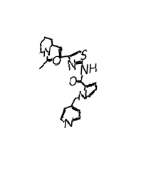 CC(=O)N1CCCCC1/C=C/c1csc(NC(=O)c2cccn2Cc2ccncc2)n1